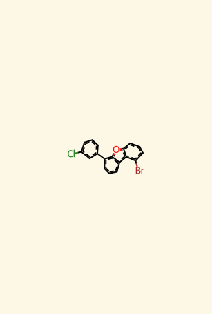 Clc1cccc(-c2cccc3c2oc2cccc(Br)c23)c1